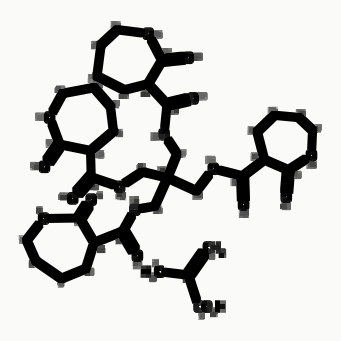 C=C(C)C(=O)O.O=C1OCCCCC1C(=O)OCC(COC(=O)C1CCCCOC1=O)(COC(=O)C1CCCCOC1=O)COC(=O)C1CCCCOC1=O